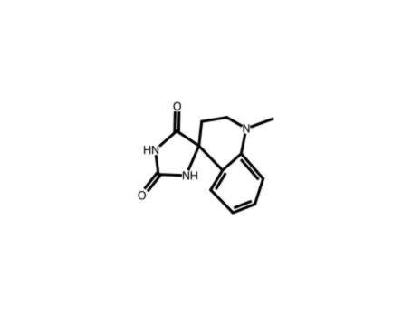 CN1CCC2(NC(=O)NC2=O)c2ccccc21